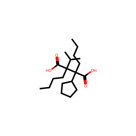 CCCCC(C(=O)O)(C(C)C)C(CCCC)(C(=O)O)C1CCCC1